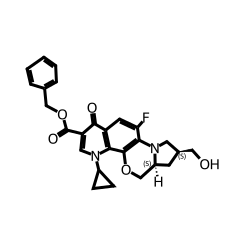 O=C(OCc1ccccc1)c1cn(C2CC2)c2c3c(c(F)cc2c1=O)N1C[C@@H](CO)C[C@H]1CO3